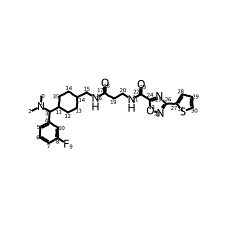 CN(C)C(c1cccc(F)c1)C1CCC(CNC(=O)CCNC(=O)c2nc(-c3cccs3)no2)CC1